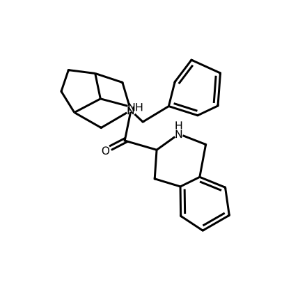 O=C(NC1C2CCC1CN(Cc1ccccc1)C2)C1Cc2ccccc2CN1